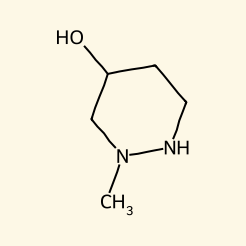 CN1CC(O)CCN1